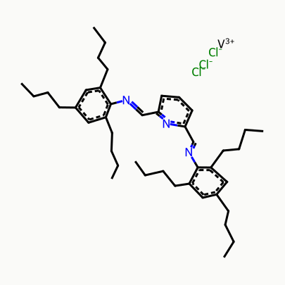 CCCCc1cc(CCCC)c(N=Cc2cccc(C=Nc3c(CCCC)cc(CCCC)cc3CCCC)n2)c(CCCC)c1.[Cl-].[Cl-].[Cl-].[V+3]